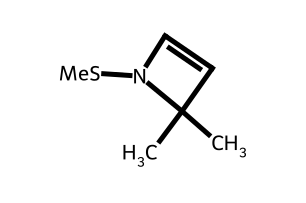 CSN1C=CC1(C)C